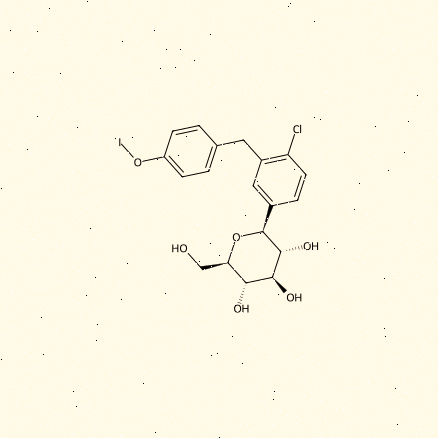 OC[C@H]1O[C@@H](c2ccc(Cl)c(Cc3ccc(OI)cc3)c2)[C@H](O)[C@@H](O)[C@@H]1O